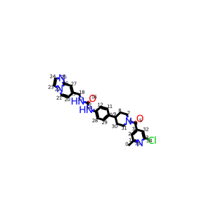 Cc1cc(C(=O)N2CCC(c3ccc(NC(=O)NCc4ccn5ccnc5c4)cc3)CC2)cc(Cl)n1